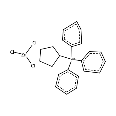 [Cl][Zn-]([Cl])[Cl].c1ccc([P+](c2ccccc2)(c2ccccc2)C2CCCC2)cc1